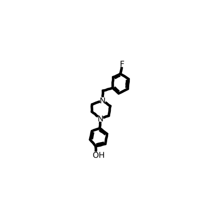 Oc1ccc(N2CCN(Cc3cccc(F)c3)CC2)cc1